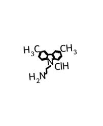 Cc1ccc2c(c1)c1cc(C)ccc1n2CCCN.Cl